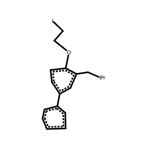 CC(C)Cc1cc(-c2ccccc2)ccc1OCCI